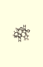 CN(C)c1ccnc2[nH]c3c(c12)C1C(=O)NC(=O)C1C1CCCC31